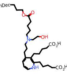 CCCCCCCCCCCCCOC(=O)CCCCN(CCO)CCCC1=CC=CNC(CCCCC(=O)O)=C1CCCCC(=O)O